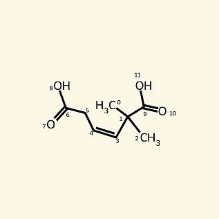 CC(C)(/C=C\CC(=O)O)C(=O)O